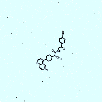 CC(C(=O)NCC(=O)c1ccc(C#N)cc1)C1CCC(c2ccnc3ccc(F)cc23)CC1